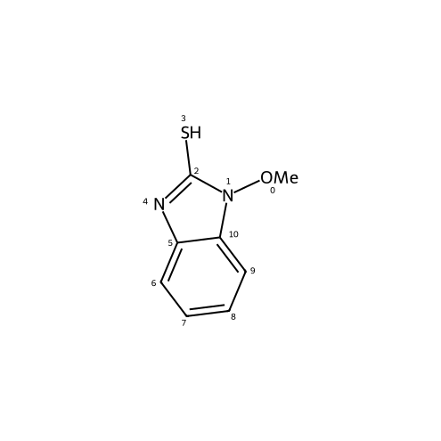 COn1c(S)nc2ccccc21